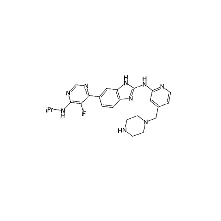 CC(C)Nc1ncnc(-c2ccc3nc(Nc4cc(CN5CCNCC5)ccn4)[nH]c3c2)c1F